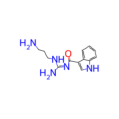 NCCCNC(N)=NC(=O)c1c[nH]c2ccccc12